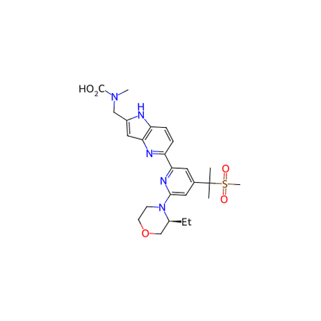 CC[C@H]1COCCN1c1cc(C(C)(C)S(C)(=O)=O)cc(-c2ccc3[nH]c(CN(C)C(=O)O)cc3n2)n1